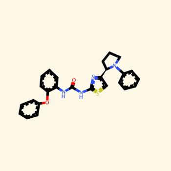 O=C(Nc1nc([C@H]2CCCN2c2ccccc2)cs1)Nc1ccccc1Oc1ccccc1